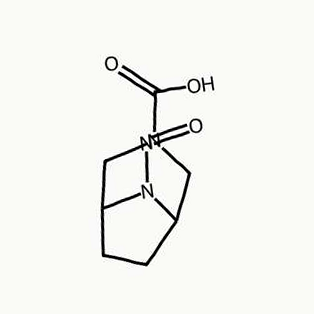 O=NN1C2CCC1CN(C(=O)O)C2